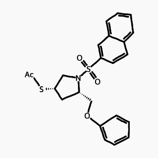 CC(=O)S[C@H]1C[C@@H](COc2ccccc2)N(S(=O)(=O)c2ccc3ccccc3c2)C1